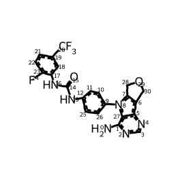 Nc1ncnc2c3c(n(-c4ccc(NC(=O)Nc5cc(C(F)(F)F)ccc5F)cc4)c12)COC3